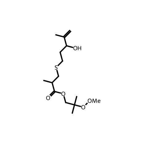 C=C(C)C(O)CCSCC(C)C(=O)OCC(C)(C)OOC